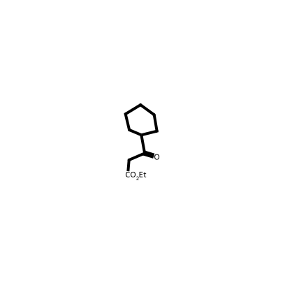 CCOC(=O)CC(=O)[C]1CCCCC1